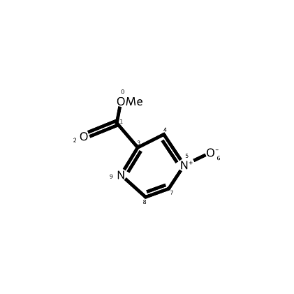 COC(=O)c1c[n+]([O-])ccn1